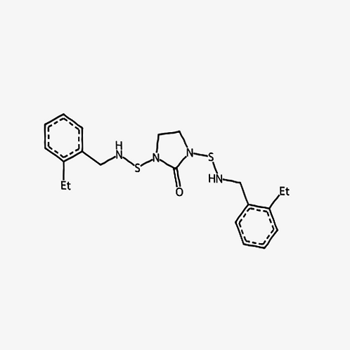 CCc1ccccc1CNSN1CCN(SNCc2ccccc2CC)C1=O